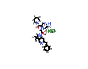 C[C@@H]1CN(CC(=O)N2CC(C)(C)c3cnc(Cc4ccccc4)cc32)[C@@H](C(=O)N2CCCCC2)CN1.Cl.Cl